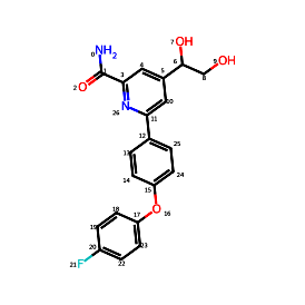 NC(=O)c1cc(C(O)CO)cc(-c2ccc(Oc3ccc(F)cc3)cc2)n1